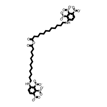 O=C(CCCCCCCCCCCNc1ccc([N+](=O)[O-])c([N+](=O)[O-])c1[N+](=O)[O-])OC(=O)CCCCCCCCCCCNc1ccc([N+](=O)[O-])c([N+](=O)[O-])c1[N+](=O)[O-]